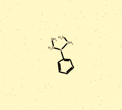 [SiH3][SiH2]N([SiH2][SiH3])c1ccccc1